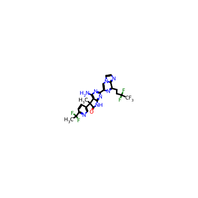 CC(F)(F)c1ccc(C2(C)C(=O)Nc3nc(-c4cn5ccnc5c(CCC(F)(F)C(F)(F)F)n4)nc(N)c32)cn1